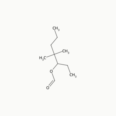 CCCC(C)(C)C(CC)OC=O